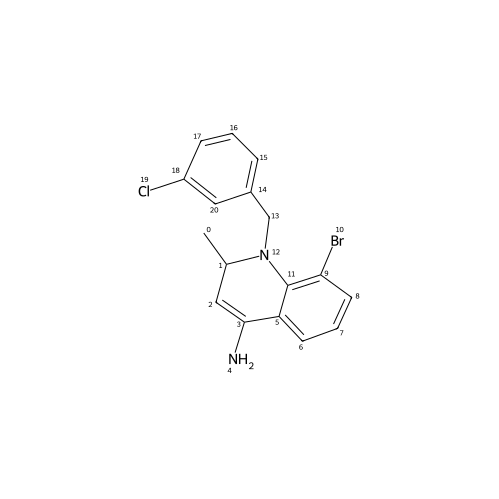 CC1C=C(N)c2cccc(Br)c2N1Cc1cccc(Cl)c1